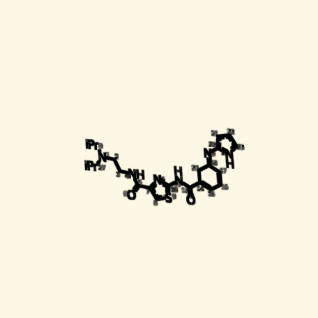 CC(C)N(CCNC(=O)c1csc(NC(=O)C2=CC=CC(=Nc3ccc[nH]3)C2)n1)C(C)C